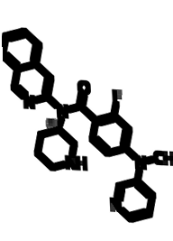 CN(c1cccnc1)c1ccc(C(=O)N(c2cc3ccccc3cn2)[C@@H]2CCCNC2)c(F)c1